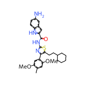 COc1cc(-c2nc(NC(=O)c3cc4cc(N)ccc4[nH]3)sc2CCC2CCCCC2)c(OC)cc1C